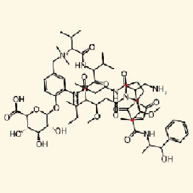 CCC(C)C(C(CC(=O)N1CCC[C@H]1C(OC)C(C)C(=O)NC(C)C(O)c1ccccc1)OC)N(C)C(=O)C(NC(=O)C(C(C)C)[N+](C)(C)Cc1ccc(O[C@@H]2O[C@H](C(=O)O)[C@@H](O)[C@H](O)[C@H]2O)c(NC(=O)CCNC(=O)C(CN)N2C(=O)C=CC2=O)c1)C(C)C